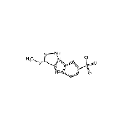 CSC1SNn2c1nc1ccc(S(=O)(=O)Cl)cc12